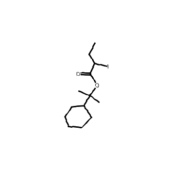 CCC(I)C(=O)OC(C)(C)C1CCCCC1